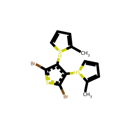 CC1=CC=C[SH]1c1c(Br)sc(Br)c1[SH]1C=CC=C1C